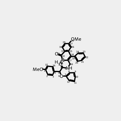 COc1ccc(C(Oc2ccccc2)C(=O)NCc2c(-c3ccccc3)c3cc(OC)ccc3c(=O)n2C)cc1